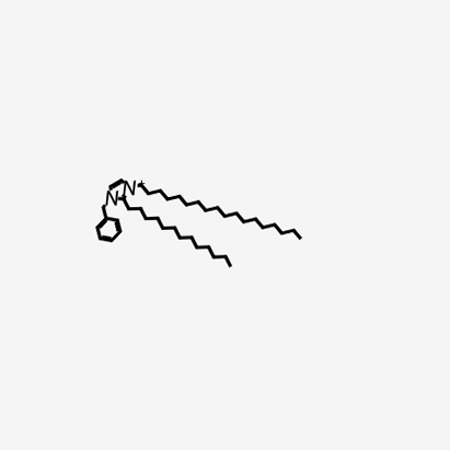 CCCCCCCCCCCCCCCCCC[n+]1ccn(Cc2ccccc2)c1CCCCCCCCCCCCC